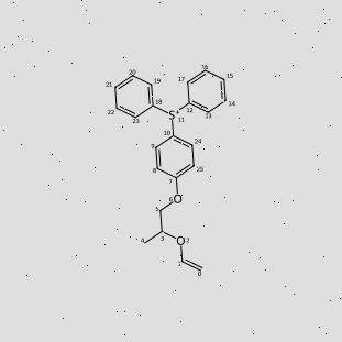 C=COC(C)COc1ccc([S+](c2ccccc2)c2ccccc2)cc1